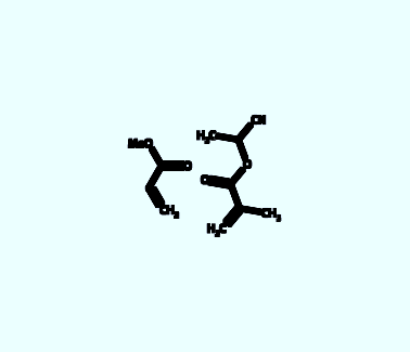 C=C(C)C(=O)OC(C)C#N.C=CC(=O)OC